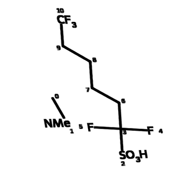 CNC.O=S(=O)(O)C(F)(F)CCCCC(F)(F)F